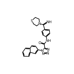 N=C(c1ccc(NC(=O)c2nnnn2-c2ccc3ccccc3c2)cc1)N1CCSCC1